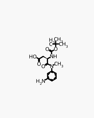 CN(C(=O)[C@@H](CC(=O)O)NC(=O)OC(C)(C)C)c1cccc(N)c1